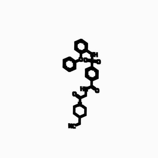 N#CCC1CCN(C(=O)CNC(=O)c2ccc(S(=O)(=O)Nc3ccccc3Oc3ccccc3)cc2)CC1